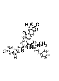 CNC(=O)[C@H](CCCc1ccccc1)NC(=O)C1CN(C(=O)Cc2c[nH]c3cc(Cl)ccc23)CC2CN(C(=O)c3ccc4oc(=O)n(C)c4c3)CC21